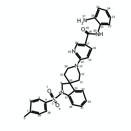 Cc1ccc(S(=O)(=O)N2CC3(CCN(c4ccc(C(=O)Nc5ccccc5N)cn4)CC3)c3ccccc32)cc1